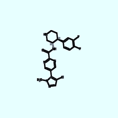 Cn1ncc(Cl)c1-c1cnc(C(=O)N[C@@H]2CNCC[C@H]2c2ccc(F)c(F)c2)nc1